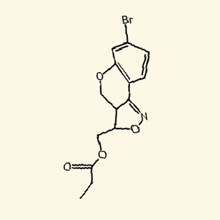 CCC(=O)OCC1ON=C2c3ccc(Br)cc3OCC21